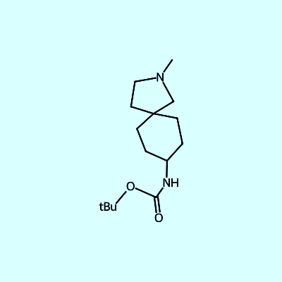 CN1CCC2(CCC(NC(=O)OC(C)(C)C)CC2)C1